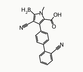 Bc1c(C#N)c(-c2ccc(-c3ccccc3C#N)cc2)c(C(=O)O)n1C